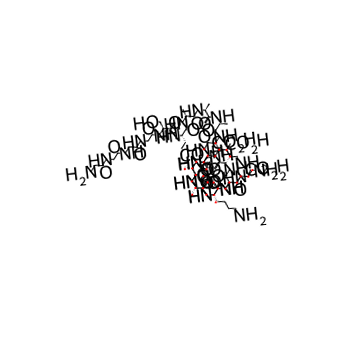 C[C@H](NC(=O)[C@H](C)NC(=O)[C@H](CCC(=O)O)NC(=O)[C@H](CO)NC(=O)CNC(=O)CNC(=O)CNC(=O)CN)C(=O)N[C@@H](C)C(=O)N[C@@H](CCCCN)C(=O)N[C@@H](CCC(=O)O)C(=O)N[C@@H](C)C(=O)N[C@@H](C)C(=O)N[C@@H](C)C(=O)N[C@@H](CCCCN)C(=O)N[C@@H](CCC(=O)O)C(=O)N[C@@H](C)C(=O)N[C@@H](C)C(=O)N[C@@H](C)C(=O)N[C@@H](CCCCN)C(=O)NCC(=O)NCC(=O)O